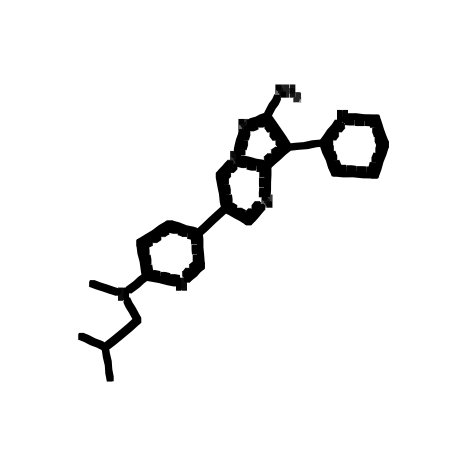 CC(C)CN(C)c1ccc(-c2cnc3c(-c4ccccn4)c(N)nn3c2)cn1